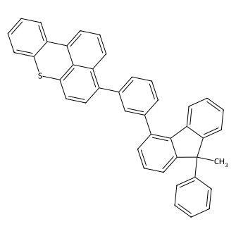 CC1(c2ccccc2)c2ccccc2-c2c(-c3cccc(-c4ccc5c6c(cccc46)-c4ccccc4S5)c3)cccc21